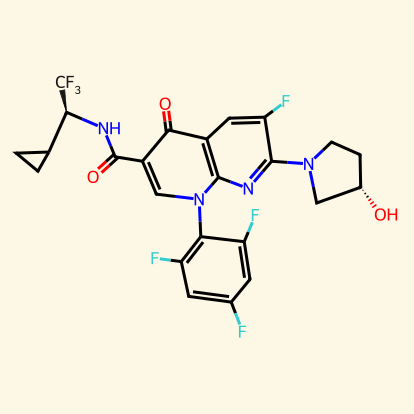 O=C(N[C@@H](C1CC1)C(F)(F)F)c1cn(-c2c(F)cc(F)cc2F)c2nc(N3CC[C@H](O)C3)c(F)cc2c1=O